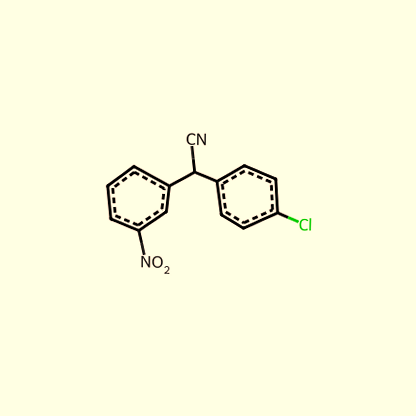 N#CC(c1ccc(Cl)cc1)c1cccc([N+](=O)[O-])c1